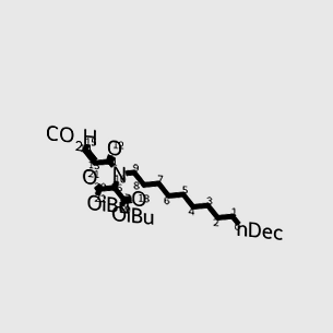 CCCCCCCCCCCCCCCCCCCN(C(=O)/C=C\C(=O)O)C(C(=O)OCC(C)C)C(=O)OCC(C)C